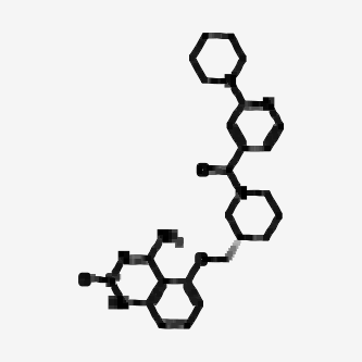 NC1=N[S+]([O-])Nc2cccc(OC[C@H]3CCCN(C(=O)c4ccnc(N5CCCCC5)c4)C3)c21